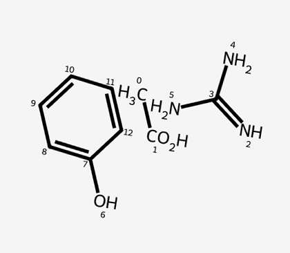 CC(=O)O.N=C(N)N.Oc1ccccc1